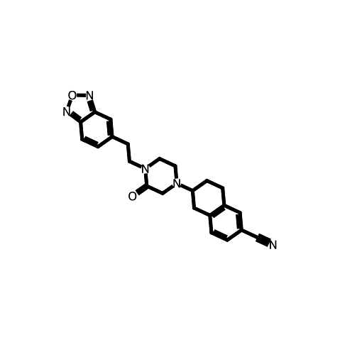 N#Cc1ccc2c(c1)CCC(N1CCN(CCc3ccc4nonc4c3)C(=O)C1)C2